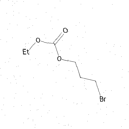 CCOC(=O)OCCCBr